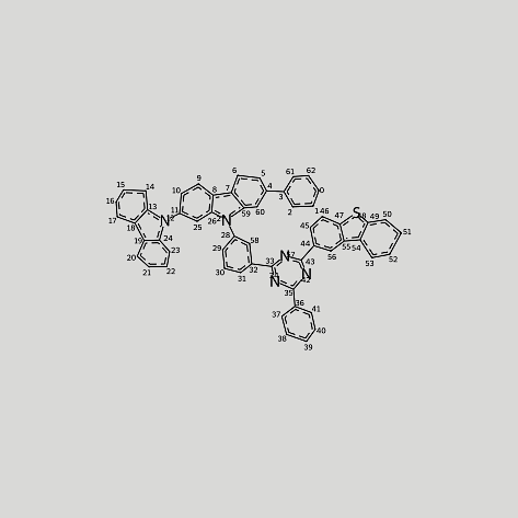 c1ccc(-c2ccc3c4ccc(-n5c6ccccc6c6ccccc65)cc4n(-c4cccc(-c5nc(-c6ccccc6)nc(-c6ccc7sc8ccccc8c7c6)n5)c4)c3c2)cc1